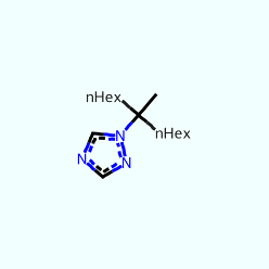 CCCCCCC(C)(CCCCCC)n1cncn1